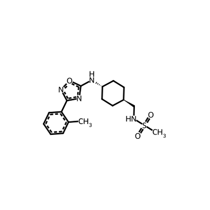 Cc1ccccc1-c1noc(N[C@H]2CC[C@H](CNS(C)(=O)=O)CC2)n1